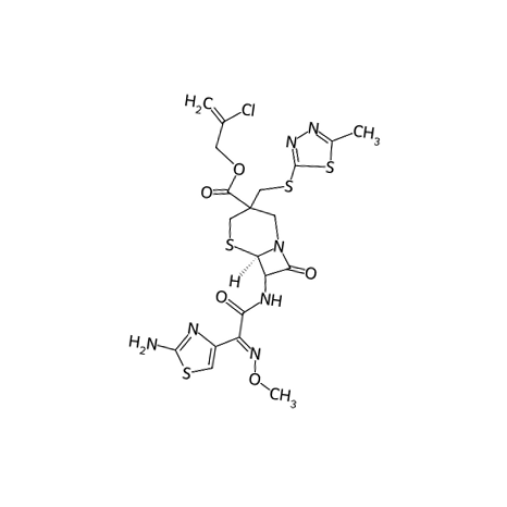 C=C(Cl)COC(=O)C1(CSc2nnc(C)s2)CS[C@@H]2C(NC(=O)C(=NOC)c3csc(N)n3)C(=O)N2C1